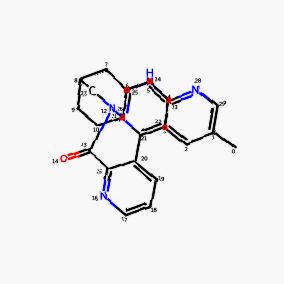 Cc1ccc(NC2CC3CCC2N(C(=O)c2ncccc2-c2ccccn2)C3)nc1